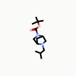 CC(C)CN1CC2CC1CN2C(=O)OC(C)(C)C